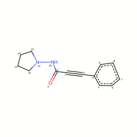 O=C(C#Cc1ccccc1)NN1CCCC1